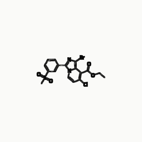 CCOC(=O)c1c(Cl)ccn2c(-c3cccc(S(C)(=O)=O)c3)nc(Br)c12